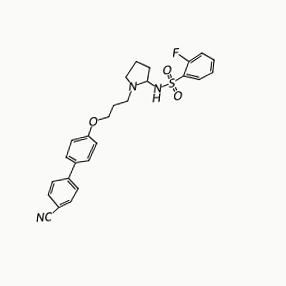 N#Cc1ccc(-c2ccc(OCCCN3CCCC3NS(=O)(=O)c3ccccc3F)cc2)cc1